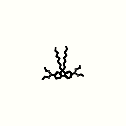 CCCCCCCCC1(CCCCCCCC)c2cc(B(OCC)OCC)ccc2-c2ccc(B(OCC)OCC)cc21